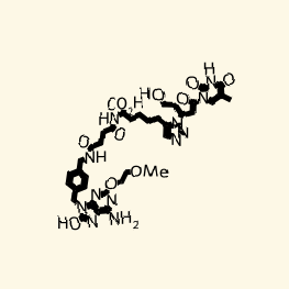 COCCOc1nc(N)c2nc(O)n(Cc3ccc(CNC(=O)CCC(=O)NC(CCCCc4cnnn4C4CC(n5cc(C)c(=O)[nH]c5=O)OC4CO)C(=O)O)cc3)c2n1